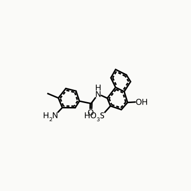 Cc1ccc(C(=O)Nc2c(S(=O)(=O)O)cc(O)c3ccccc23)cc1N